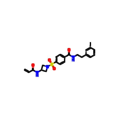 C=CC(=O)NC1CN(S(=O)(=O)c2ccc(C(=O)NCCc3cccc(C)c3)cc2)C1